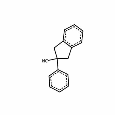 N#CC1(c2ccccc2)Cc2ccccc2C1